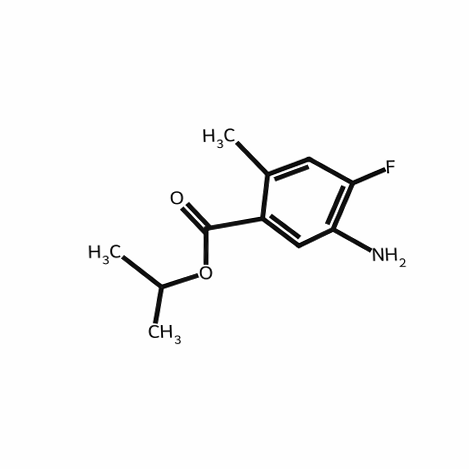 Cc1cc(F)c(N)cc1C(=O)OC(C)C